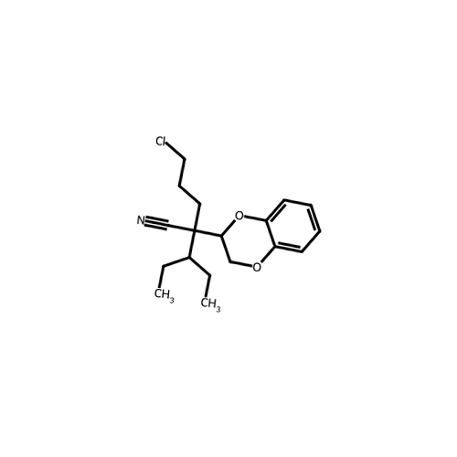 CCC(CC)C(C#N)(CCCCl)C1COc2ccccc2O1